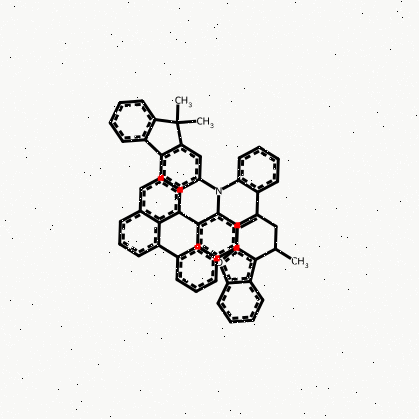 CC1CC(c2ccccc2N(c2ccc3c(c2)C(C)(C)c2ccccc2-3)c2ccccc2-c2cccc3cccc(-c4ccccc4)c23)=Cc2oc3ccccc3c21